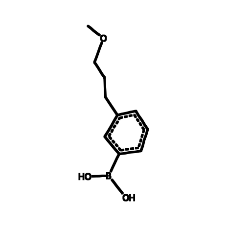 COCCCc1cccc(B(O)O)c1